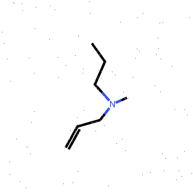 C=CCN(C)CCC